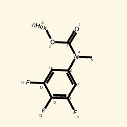 [CH2]CCCCCOC(=O)N(C)c1cc(F)c(F)c(F)c1